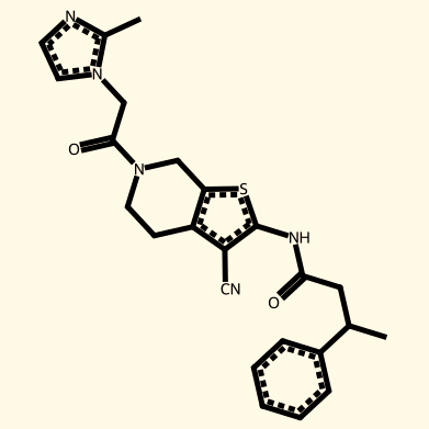 Cc1nccn1CC(=O)N1CCc2c(sc(NC(=O)CC(C)c3ccccc3)c2C#N)C1